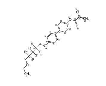 CCOCC(F)(F)C(F)(F)C(F)(F)COc1ccc(-c2ccc(OC(=O)[C@H](C)Cl)cc2)cc1